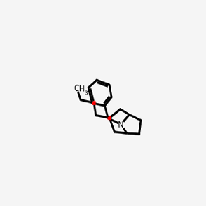 CCCCC1CC2CCC(C1)N2Cc1ccccc1